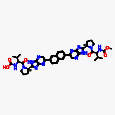 COC(=O)NC(C(=O)N1CCC[C@@H]1c1nc2nc(-c3ccc4cc(-c5cnc6[nH]c([C@H]7CCCN7C(=O)C(NC(=O)O)C(C)C)nc6n5)ccc4c3)cnc2[nH]1)C(C)C